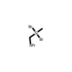 CCCC[Si](C)(Br)Br